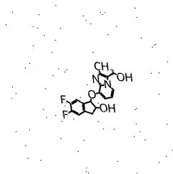 Cc1nc2c(OC3c4cc(F)c(F)cc4CC3O)cccn2c1CO